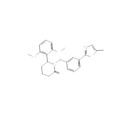 COc1cccc(OC)c1C1CCCC(=O)N1Cc1cccc(-c2ncc(C)s2)c1